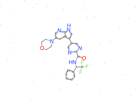 O=C(NC(c1ccccc1)C(F)(F)F)c1ncc(-c2c[nH]c3ncc(N4CCOCC4)cc23)cn1